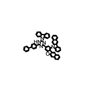 c1ccc(-c2ccc(C3=NC(c4cc(-n5c6ccccc6c6cc7ccccc7cc65)c5c(c4)oc4cc6ccccc6cc45)=NC(n4c5ccccc5c5ccccc54)N3)cc2)cc1